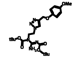 COc1ccc(OCc2cn(CCN(C(=O)OC(C)(C)C)C(N)=NC(=O)OC(C)(C)C)nn2)cc1